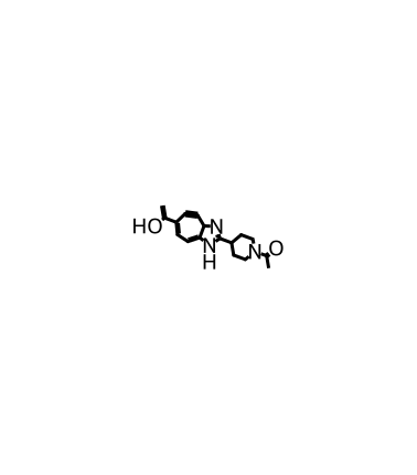 C=C(O)C1=CC=C2NC(C3CCN(C(C)=O)CC3)=NC2C#C1